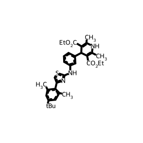 CCOC(=O)C1=C(C)NC(C)=C(C(=O)OCC)C1c1cccc(Nc2nc(-c3c(C)cc(C(C)(C)C)cc3C)cs2)c1